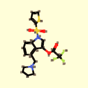 O=C(Oc1cn(S(=O)(=O)c2cccs2)c2cccc(CN3CCCC3)c12)C(F)(F)F